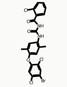 Cc1cc(Oc2cc(Cl)c(Br)cc2Cl)c(C)cc1NC(=O)NC(=O)c1ccccc1Cl